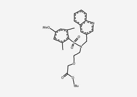 COc1cc(C)c(S(=O)(=O)N(CCOCC(=O)OC(C)(C)C)Cc2cnc3ccccc3c2)c(C)c1